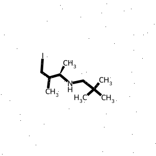 CC(CI)[C@@H](C)NCC(C)(C)C